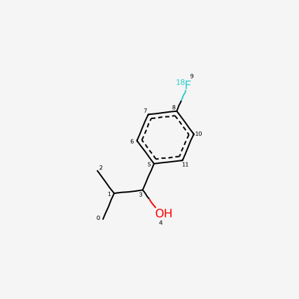 CC(C)C(O)c1ccc([18F])cc1